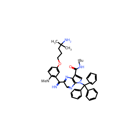 CNc1ccc(OCCCC(C)(C)N)cc1C(=N)c1cnc2c(n1)c(C(=O)NC(C)(C)C)cn2C(c1ccccc1)(c1ccccc1)c1ccccc1